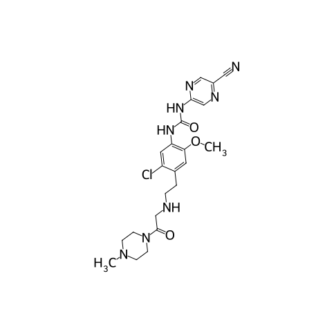 COc1cc(CCNCC(=O)N2CCN(C)CC2)c(Cl)cc1NC(=O)Nc1cnc(C#N)cn1